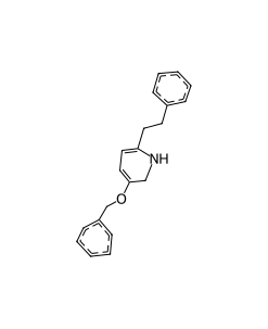 C1=C(CCc2ccccc2)NCC(OCc2ccccc2)=C1